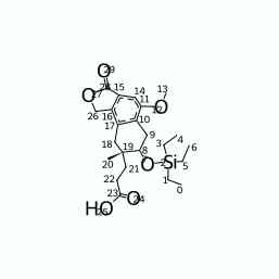 CC[Si](CC)(CC)OC1Cc2c(OC)cc3c(c2C[C@@]1(C)CCC(=O)O)COC3=O